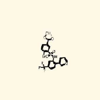 COC(=O)c1ccc(Br)c(S(=O)(=O)Nc2cc(C(F)(F)F)ccc2-c2cccnc2)c1